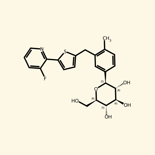 Cc1ccc([C@@H]2O[C@H](CO)[C@@H](O)[C@H](O)[C@H]2O)cc1Cc1ccc(-c2ncccc2F)s1